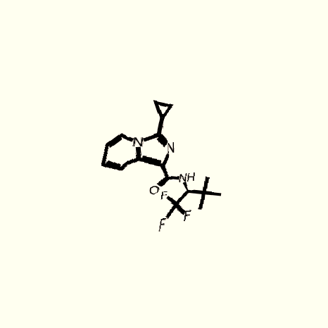 CC(C)(C)[C@H](NC(=O)c1nc(C2CC2)n2ccccc12)C(F)(F)F